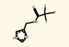 O=C(NCc1c[nH]cn1)C(F)(F)F